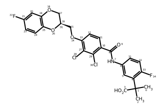 CC(C)(C(=O)O)c1cc(NC(=O)c2ccc(OC[C@@H]3COc4cc(F)ccc4O3)c(Cl)c2Cl)ccc1F